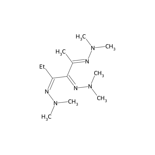 CCC(=NN(C)C)C(=NN(C)C)C(C)=NN(C)C